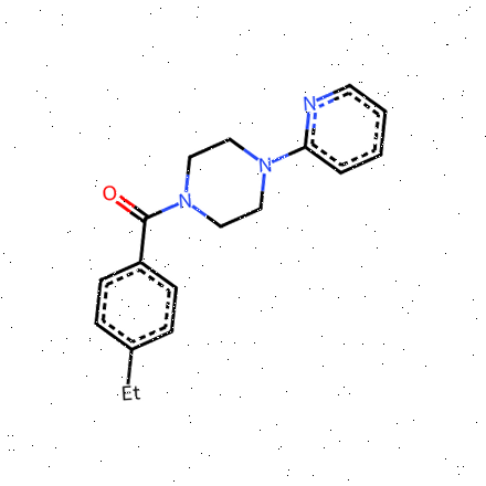 CCc1ccc(C(=O)N2CCN(c3ccccn3)CC2)cc1